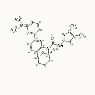 Cc1nc(NC(=O)N2c3nc(-c4cccc(N(C)C)c4)ccc3N3CCC[C@@H]2C3)sc1C